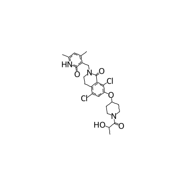 Cc1cc(C)c(CN2CCc3c(Cl)cc(OC4CCN(C(=O)C(C)O)CC4)c(Cl)c3C2=O)c(=O)[nH]1